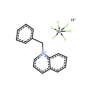 [F][Sb-]([F])([F])([F])([F])[F].[H+].c1ccc(C[n+]2cccc3ccccc32)cc1